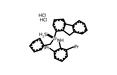 CC(C)c1cccc(C(C)C)c1[NH][Zr](=[SiH2])([CH2]c1ccccc1)[c]1cccc2c1Cc1ccccc1-2.Cl.Cl